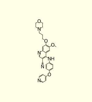 COc1cc2c(Nc3ccc(Oc4ccncc4)cc3)c(C#N)cnc2cc1OCCCN1CCOCC1